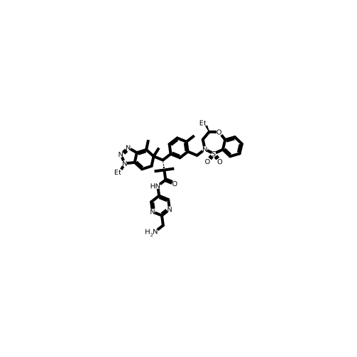 CC[C@@H]1CN(Cc2cc([C@H](C(C)(C)C(=O)Nc3cnc(CN)nc3)C3(C)CC=c4c(nnn4CC)=C3C)ccc2C)S(=O)(=O)c2ccccc2O1